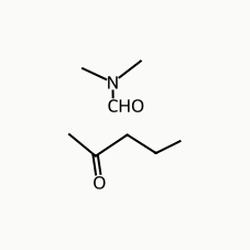 CCCC(C)=O.CN(C)C=O